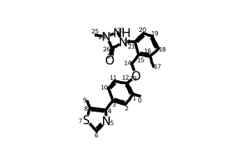 Cc1cc(-c2ncsc2C)ccc1OCc1c(C)cccc1-n1[nH]n(C)c1=O